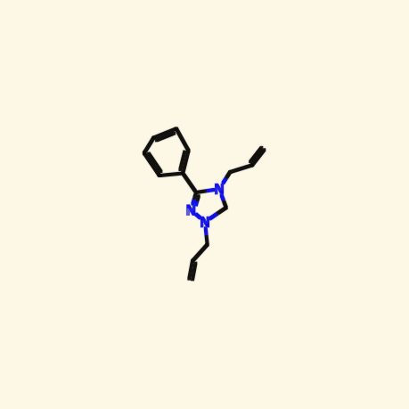 C=CCN1CN(CC=C)C(c2ccccc2)=N1